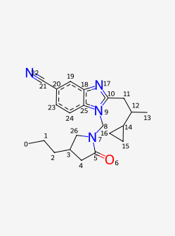 CCCC1CC(=O)N(Cn2c(CC(C)C3CC3)nc3cc(C#N)ccc32)C1